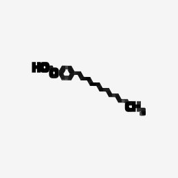 CCCCCCCCCCCCc1ccc(OCO)cc1